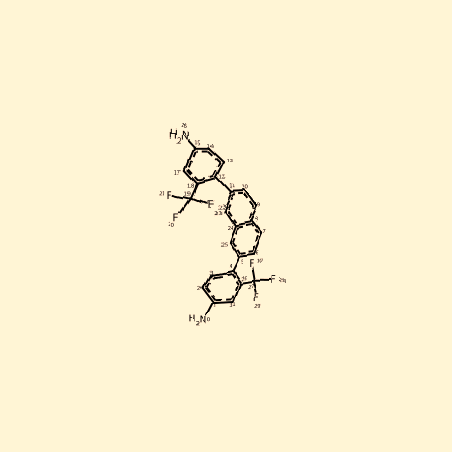 Nc1ccc(-c2ccc3ccc(-c4ccc(N)cc4C(F)(F)F)cc3c2)c(C(F)(F)F)c1